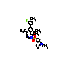 Cc1ccc(-c2cc(C(C)C)c(CC(=O)NS(=O)(=O)c3ccc(CN(C)C)cc3)c(C(C)C)c2)cc1F